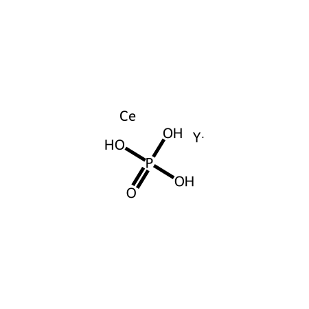 O=P(O)(O)O.[Ce].[Y]